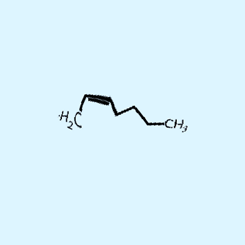 [CH2]/C=C\CCCC